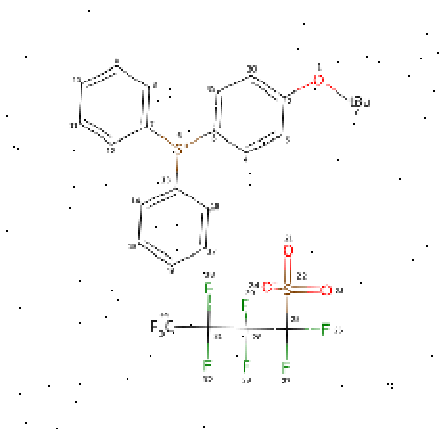 CC(C)(C)Oc1ccc([S+](c2ccccc2)c2ccccc2)cc1.O=S(=O)([O-])C(F)(F)C(F)(F)C(F)(F)C(F)(F)F